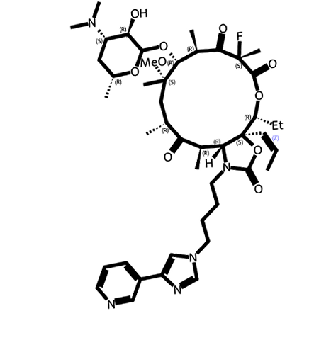 C/C=C\[C@]12OC(=O)N(CCCCn3cnc(-c4cccnc4)c3)[C@@H]1[C@@H](C)C(=O)[C@H](C)C[C@](C)(OC)[C@H](OC1O[C@H](C)C[C@H](N(C)C)[C@H]1O)[C@@H](C)C(=O)[C@](C)(F)C(=O)O[C@@H]2CC